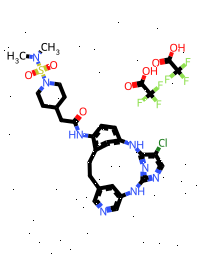 CN(C)S(=O)(=O)N1CCC(CC(=O)Nc2ccc3cc2CCc2cncc(c2)Nc2ncc(Cl)c(n2)N3)CC1.O=C(O)C(F)(F)F.O=C(O)C(F)(F)F